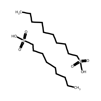 CCCCCCCCCCS(=O)(=O)O.CCCCCCCCCS(=O)(=O)O